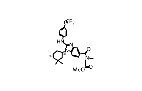 COC(=O)CN(C)C(=O)c1ccc2c(c1)nc(Nc1ccc(OC(F)(F)F)cc1)n2[C@H]1C[C@@H](C)CC(C)(C)C1